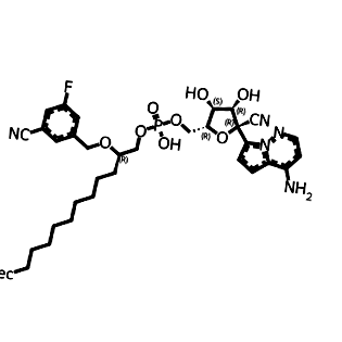 CCCCCCCCCCCCCCCCCCC[C@H](COP(=O)(O)OC[C@H]1O[C@@](C#N)(c2ccc3c(N)ccnn23)[C@H](O)[C@@H]1O)OCc1cc(F)cc(C#N)c1